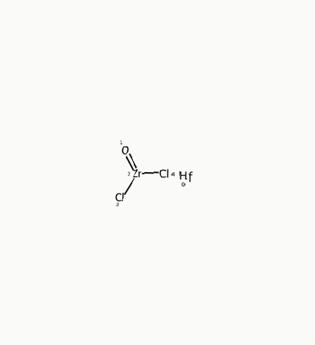 [Hf].[O]=[Zr]([Cl])[Cl]